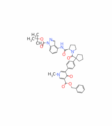 Cn1cc(C(=O)OCc2ccccc2)c(=O)c(-c2ccc(C3(C(=O)N4CCC[C@@H]4C(=O)Nc4cccc5c4cnn5C(=O)OC(C)(C)C)CCCC3)cc2)c1